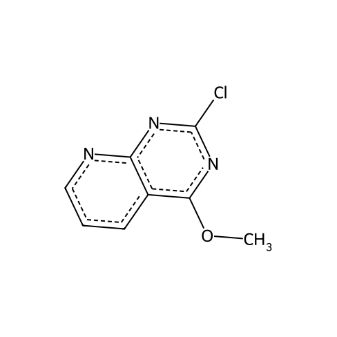 COc1nc(Cl)nc2ncccc12